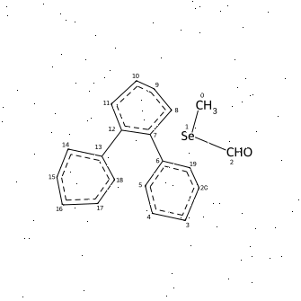 C[Se]C=O.c1ccc(-c2ccccc2-c2ccccc2)cc1